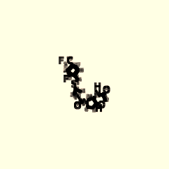 O=C1CO[C@H]2CCN(C(=O)N3CC(SCc4ccc(C(F)(F)F)cc4F)C3)CC2N1